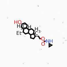 CC[C@H]1CC2C3CC[C@H](CCOC(=O)NC4CC4)C3(C)CC[C@@H]2C2(C)CC[C@@H](O)CC12